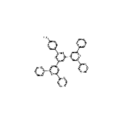 Cc1ccc(-c2nc(-c3cc(-c4ccccn4)nc(-c4ccccn4)c3)cc(-c3cc(-c4ccccn4)nc(-c4ccccn4)c3)n2)cc1